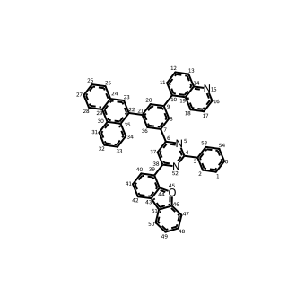 c1ccc(-c2nc(-c3cc(-c4cccc5ncccc45)cc(-c4cc5ccccc5c5ccccc45)c3)cc(-c3cccc4c3oc3ccccc34)n2)cc1